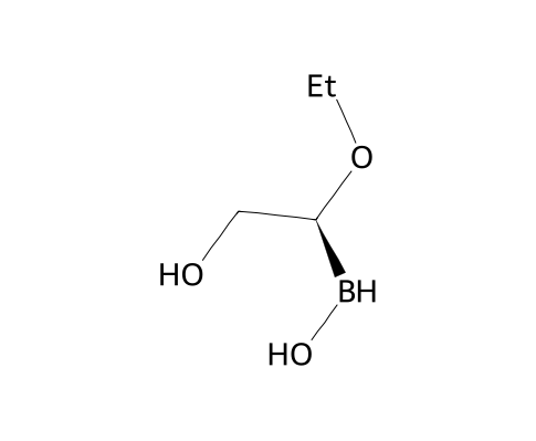 CCO[C@@H](BO)CO